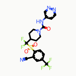 N#Cc1cc(C(F)(F)F)ccc1S(=O)(=O)C(F)(F)C1CCN(C(=O)Nc2ccnnc2)CC1